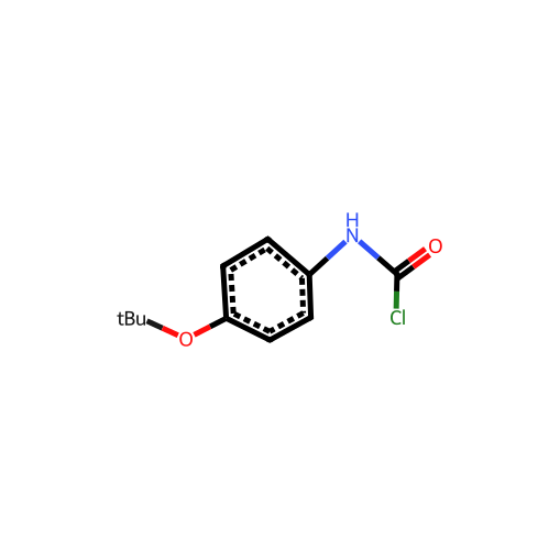 CC(C)(C)Oc1ccc(NC(=O)Cl)cc1